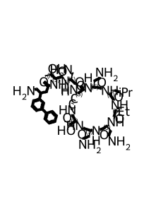 CC[C@@H]1NC(=O)[C@@H](CC(C)C)NC(=O)[C@H](CCN)NC(=O)[C@@H](NC(=O)[C@H](CN)NC(=O)[C@@H](NC(=O)CC(CN)c2cccc(-c3ccccc3)c2)[C@@H](C)O)CCNC(=O)[C@H]([C@@H](C)O)NC(=O)[C@H](CCN)NC(=O)[C@H](CCN)NC1=O